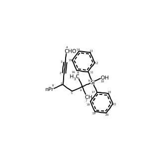 CCCC(C#CC=O)CC(C)(C)[Si](O)(c1ccccc1)c1ccccc1